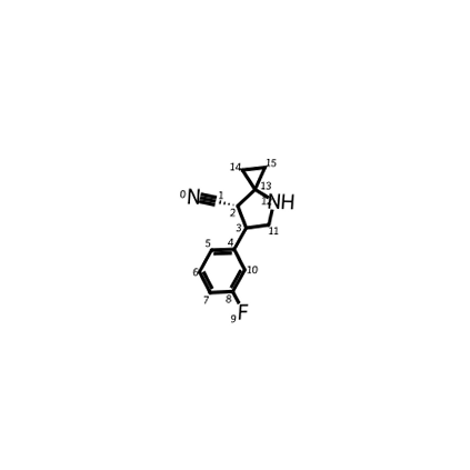 N#C[C@H]1C(c2cccc(F)c2)CNC12CC2